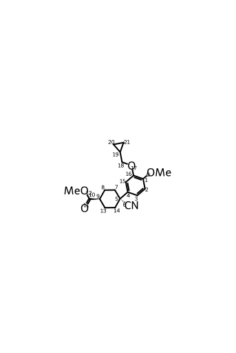 COc1ccc([C@]2(C#N)CC[C@H](C(=O)OC)CC2)cc1OCC1CC1